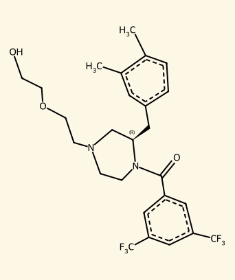 Cc1ccc(C[C@@H]2CN(CCOCCO)CCN2C(=O)c2cc(C(F)(F)F)cc(C(F)(F)F)c2)cc1C